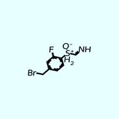 N=C[SH2+]([O-])c1ccc(CBr)cc1F